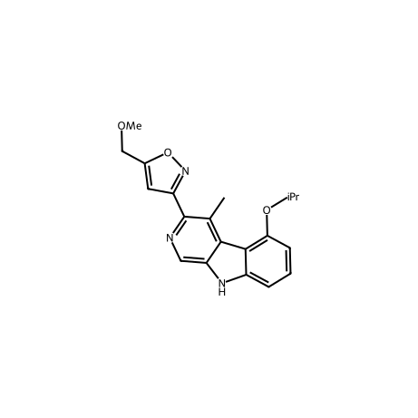 COCc1cc(-c2ncc3[nH]c4cccc(OC(C)C)c4c3c2C)no1